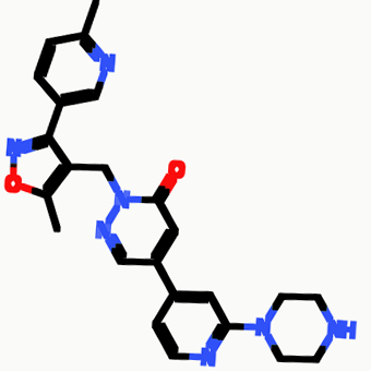 Cc1ccc(-c2noc(C)c2Cn2ncc(-c3ccnc(N4CCNCC4)c3)cc2=O)cn1